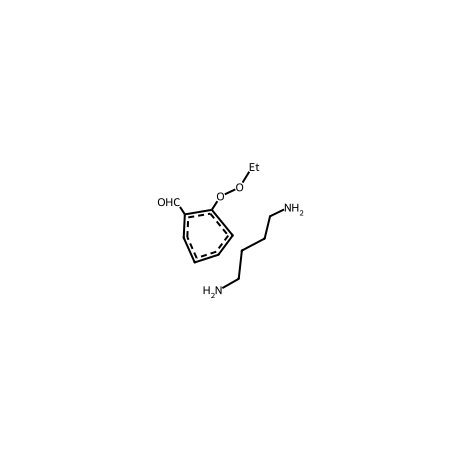 CCOOc1ccccc1C=O.NCCCCN